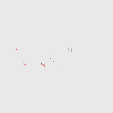 c1ccc(CN2CC3CN(Cc4ccccc4)CC(C2)N3Cc2ccccc2)cc1